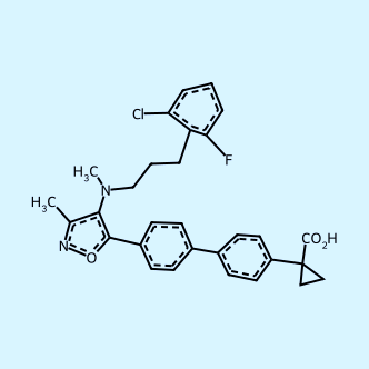 Cc1noc(-c2ccc(-c3ccc(C4(C(=O)O)CC4)cc3)cc2)c1N(C)CCCc1c(F)cccc1Cl